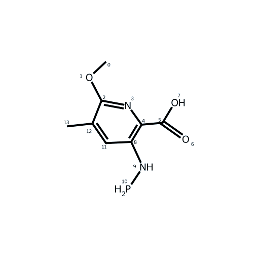 COc1nc(C(=O)O)c(NP)cc1C